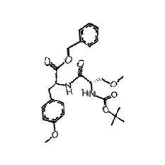 COC[C@H](NC(=O)OC(C)(C)C)C(=O)N[C@@H](Cc1ccc(OC)cc1)C(=O)OCc1ccccc1